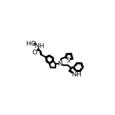 O=C(C=Cc1ccc2c(c1)CCC2N(CCc1c[nH]c2ccccc12)Cc1cccs1)NO